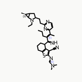 CCC/C(C(=N)C1CCCc2sc(/N=C/N(C)C)c(C#N)c21)=C(/C)c1ccnc(CCC2CC3C([C@H]3C)N2CC)n1